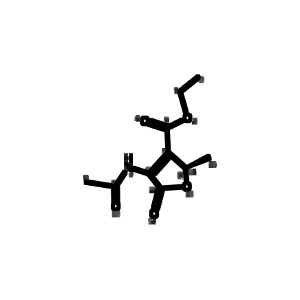 CCOC(=O)C1=C(NC(C)=O)C(=O)O[C@@H]1C